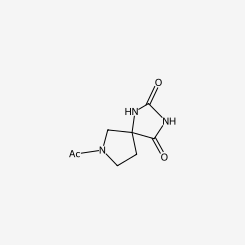 CC(=O)N1CCC2(C1)NC(=O)NC2=O